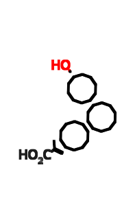 C1CCCCCCCCC1.C1CCCCCCCCC1.C1CCCCCCCCC1.C=C(C)C(=O)O.CO